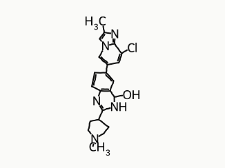 Cc1cn2cc(-c3ccc4c(c3)C(O)NC(C3CCN(C)CC3)=N4)cc(Cl)c2n1